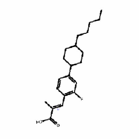 CCCCCC1CCC(c2ccc(/C=C(\C)C(=O)O)c(F)c2)CC1